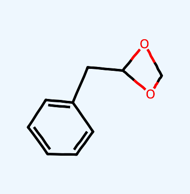 c1ccc(CC2OCO2)cc1